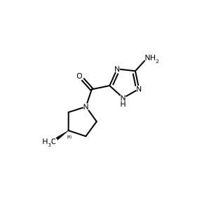 C[C@@H]1CCN(C(=O)c2nc(N)n[nH]2)C1